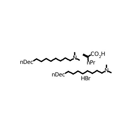 Br.C=C(CCC)C(=O)O.CCCCCCCCCCCCCCCCCCN(C)C.CCCCCCCCCCCCCCCCCCN(C)C